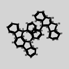 c1ccc(-n2c3ccccc3c3ccc4c5ccccc5n(-c5ccc(-c6c7ccccc7nc7sc8ccccc8c67)cc5)c4c32)cc1